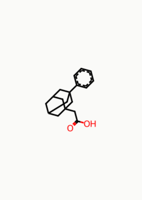 O=C(O)CC12CC3CC(C1)CC(c1ccccc1)(C3)C2